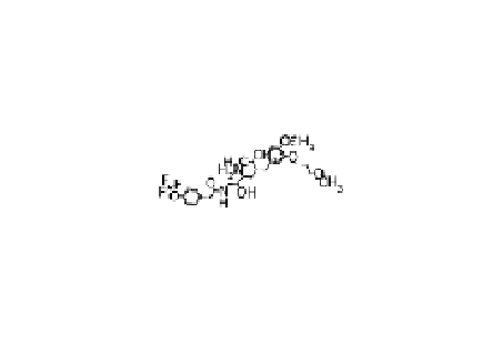 COCCCOc1cc(C[C@@H](C[C@H](N)[C@@H](O)CNC(=O)Cc2ccc(OC(F)(F)F)cc2)C(C)C)ccc1OC